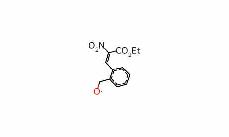 CCOC(=O)/C(=C\c1ccccc1C[O])[N+](=O)[O-]